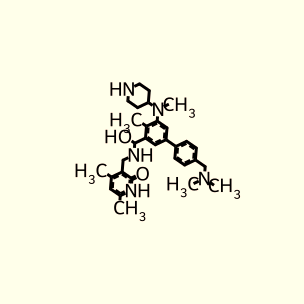 Cc1cc(C)c(CNC(O)c2cc(-c3ccc(CN(C)C)cc3)cc(N(C)C3CCNCC3)c2C)c(=O)[nH]1